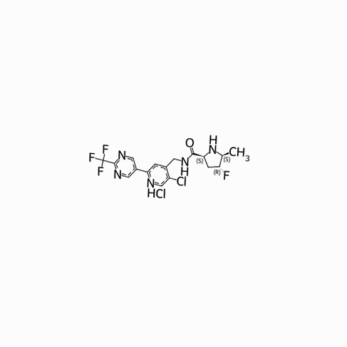 C[C@@H]1N[C@H](C(=O)NCc2cc(-c3cnc(C(F)(F)F)nc3)ncc2Cl)C[C@H]1F.Cl